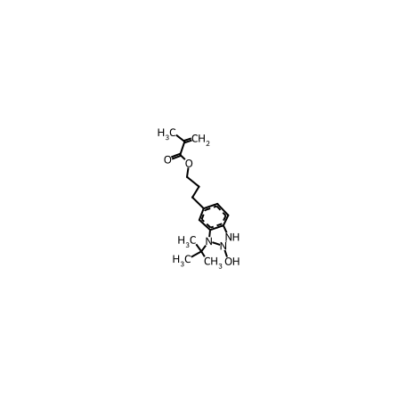 C=C(C)C(=O)OCCCc1ccc2c(c1)N(C(C)(C)C)N(O)N2